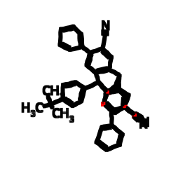 CC(C)(C)c1ccc(C23c4ccc(C#N)cc4C(c4cc(C#N)c(-c5ccccc5)cc42)c2cc(C#N)c(-c4ccccc4)cc23)cc1